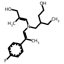 CCC(CCO)CN(/C=C(\C)CO)/C=C(\C)c1ccc(F)cc1